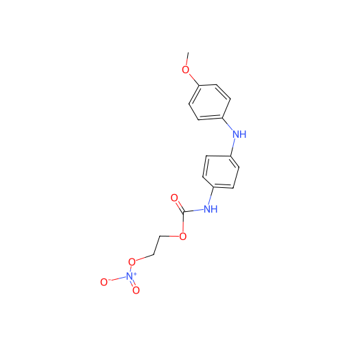 COc1ccc(Nc2ccc(NC(=O)OCCO[N+](=O)[O-])cc2)cc1